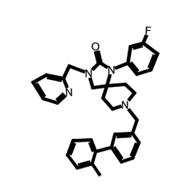 Cc1ccccc1-c1cccc(CN2CCC3(CC2)CN(Cc2ccccn2)C(=O)N3c2cccc(F)c2)c1